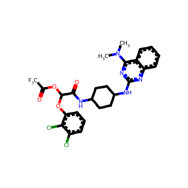 CN(C)c1nc(NC2CCC(NC(=O)C(OC(=O)C(F)(F)F)Oc3cccc(Cl)c3Cl)CC2)nc2ccccc12